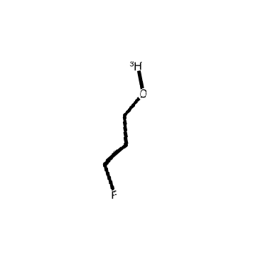 [3H]OCCCF